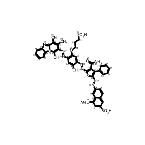 COc1cc(S(=O)(=O)O)cc2ccc(N=Nc3sc(N=Nc4cc(OCCCS(=O)(=O)O)c(N=Nc5c(C)c(C#N)c6nc7ccccc7n6c5O)cc4C)c(C(N)=O)c3-c3ccccc3)cc12